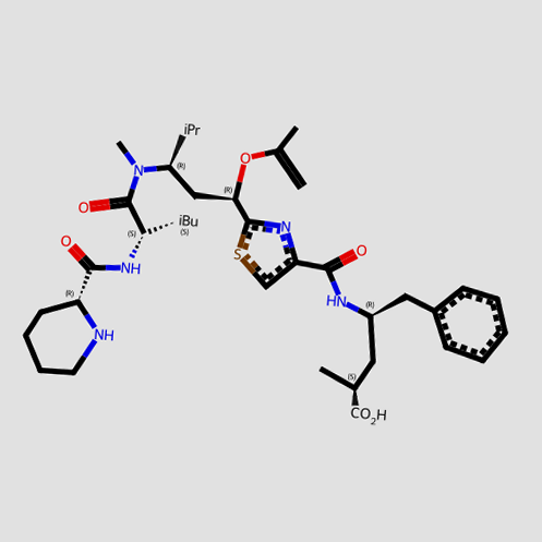 C=C(C)O[C@H](C[C@H](C(C)C)N(C)C(=O)[C@@H](NC(=O)[C@H]1CCCCN1)[C@@H](C)CC)c1nc(C(=O)N[C@@H](Cc2ccccc2)C[C@H](C)C(=O)O)cs1